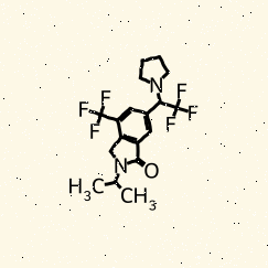 CC(C)N1Cc2c(cc(C(N3CCCC3)C(F)(F)F)cc2C(F)(F)F)C1=O